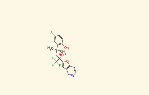 CC(C)(CC(O)(c1cc2cnccc2o1)C(F)(F)F)c1cc(F)ccc1O